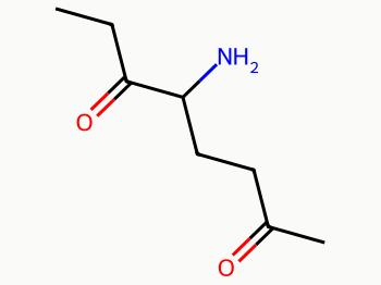 CCC(=O)C(N)CCC(C)=O